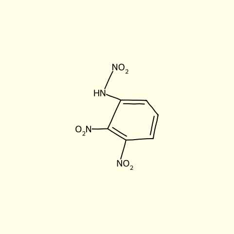 O=[N+]([O-])Nc1cccc([N+](=O)[O-])c1[N+](=O)[O-]